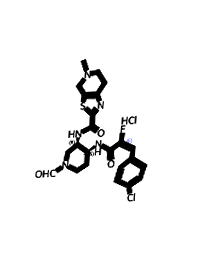 CN1CCc2nc(C(=O)N[C@@H]3CN(C=O)CC[C@@H]3NC(=O)/C(F)=C\c3ccc(Cl)cc3)sc2C1.Cl